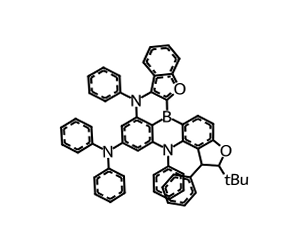 CC(C)(C)C1Oc2ccc3c(c2C1c1ccccc1)N(c1ccccc1)c1cc(N(c2ccccc2)c2ccccc2)cc2c1B3c1oc3ccccc3c1N2c1ccccc1